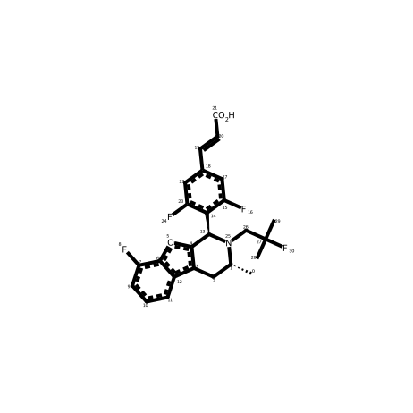 C[C@@H]1Cc2c(oc3c(F)cccc23)[C@@H](c2c(F)cc(/C=C/C(=O)O)cc2F)N1CC(C)(C)F